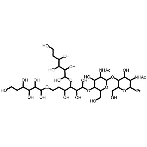 CC(=O)NC1C(OC2C(CO)OC(C(C)C)C(NC(C)=O)C2O)OC(CO)C(OC(O)C(O)C(OC(O)C(O)C(O)C(O)CCO)C(O)CCOC(O)C(O)C(O)C(O)CCO)C1O